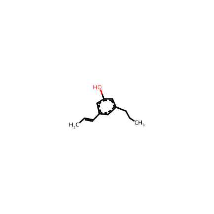 CC=Cc1cc(O)cc(CCC)c1